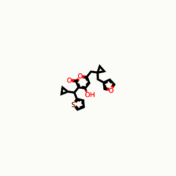 O=c1oc(CC2(Cc3ccoc3)CC2)cc(O)c1C(c1cccs1)C1CC1